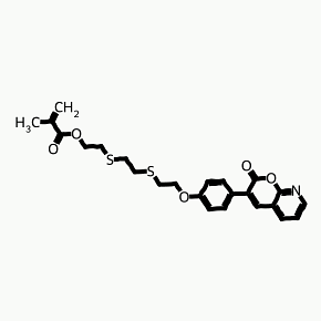 C=C(C)C(=O)OCCSCCSCCOc1ccc(-c2cc3cccnc3oc2=O)cc1